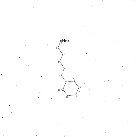 CCCCCCCCCCCC1CCCCO1